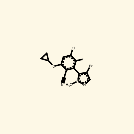 Cn1ncc(Br)c1-c1c(F)c(Cl)cc(OC2CC2)c1C#N